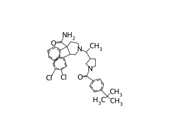 CC(C1CCN(C(=O)c2ccc(C(C)(C)C)cc2)C1)N1CCC(C(N)=O)(c2ccccc2)C(c2ccc(Cl)c(Cl)c2)C1